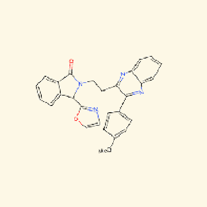 COc1ccc(-c2nc3ccccc3nc2CCN2C(=O)c3ccccc3C2c2ncco2)cc1